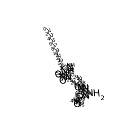 CCCCCCCCCCCCCCCCCNc1c(N(CCCCOn2c(CCCC)nc3c(N)nc4cc(P(=O)(CC)CC)ccc4c32)CCCN(C)C)c(=O)c1=O